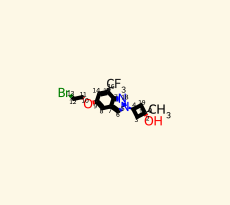 C[C@]1(O)C[C@@H](n2cc3cc(OCCBr)cc(C(F)(F)F)c3n2)C1